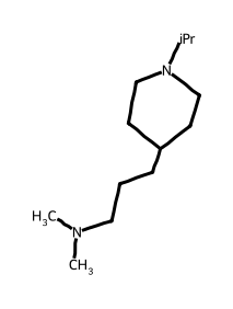 CC(C)N1CCC(CCCN(C)C)CC1